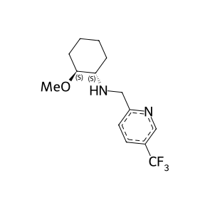 CO[C@H]1CCCC[C@@H]1NCc1ccc(C(F)(F)F)cn1